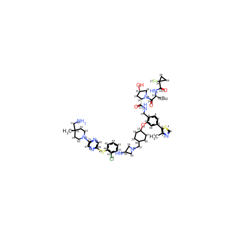 Cc1ncsc1-c1ccc(CNC(=O)[C@@H]2C[C@@H](O)CN2C(=O)[C@@H](NC(=O)C2(F)CC2)C(C)(C)C)c(OC2CCC(CN3CC(Nc4cccc(Sc5cnc(N6CCC(C)(CN)CC6)cn5)c4Cl)C3)CC2)c1